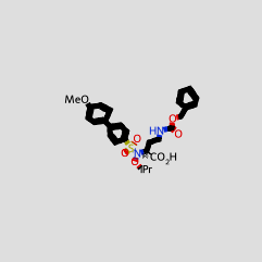 COc1ccc(-c2ccc(S(=O)(=O)N(OC(C)C)[C@H](CCNC(=O)OCc3ccccc3)C(=O)O)cc2)cc1